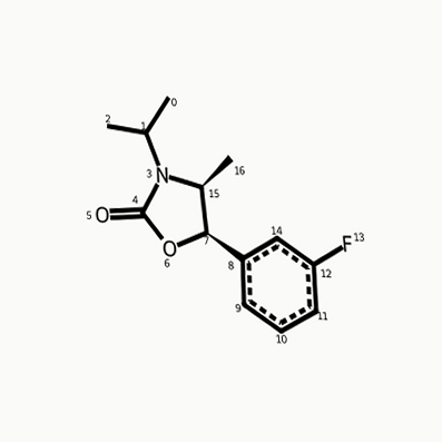 CC(C)N1C(=O)O[C@H](c2cccc(F)c2)[C@@H]1C